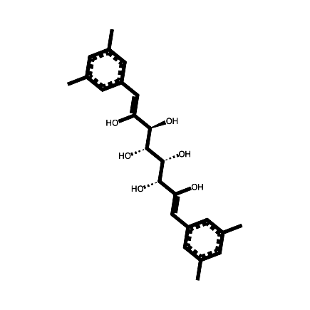 Cc1cc(C)cc(C=C(O)[C@@H](O)[C@@H](O)[C@H](O)[C@@H](O)C(O)=Cc2cc(C)cc(C)c2)c1